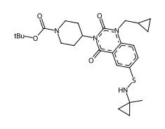 CC1(NSc2ccc3c(c2)c(=O)n(C2CCN(C(=O)OC(C)(C)C)CC2)c(=O)n3CC2CC2)CC1